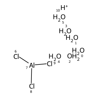 O.O.O.O.O.O.[Cl][Al]([Cl])[Cl].[H+]